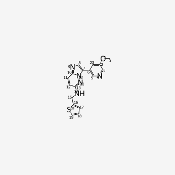 COc1cncc(-c2cnc3ccc(NCc4cccs4)nn23)c1